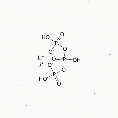 O=P([O-])(O)OP(=O)(O)OP(=O)([O-])O.[Li+].[Li+]